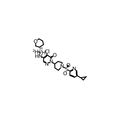 [2H]C([2H])(Nc1cnn(C2CCN(S(=O)(=O)c3ccc(C4CC4)cn3)CC2)c(=O)c1Cl)[C@H]1CCCOC1